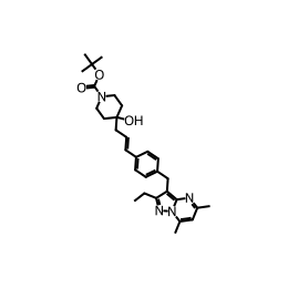 CCc1nn2c(C)cc(C)nc2c1Cc1ccc(/C=C/CC2(O)CCN(C(=O)OC(C)(C)C)CC2)cc1